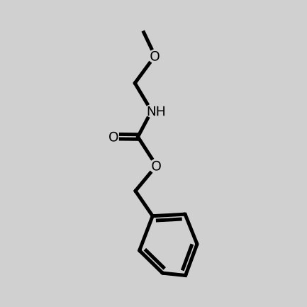 COCNC(=O)OCc1ccccc1